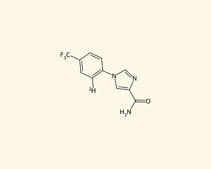 [2H]c1cc(C(F)(F)F)ccc1-n1cnc(C(N)=O)c1